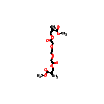 C=C(COC(=O)COCCOCC(=O)OCC(=C)C(=O)OC)C(=O)OC